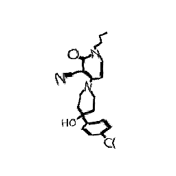 CCCCn1ccc(N2CCC(O)(c3ccc(Cl)cc3)CC2)c(C#N)c1=O